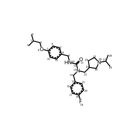 CC(C)COc1ccc(CNC(=O)N(Cc2ccc(F)cc2)CC2CCN(C(C)C)C2)cc1